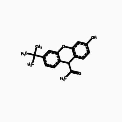 CC(=O)N1c2ccc(O)cc2Oc2cc(C(C)(C)C)ccc21